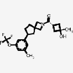 Cc1cc(OC(F)(F)F)cc(C2CCC3(C2)CN(C(=O)[C@H]2C[C@@](C)(O)C2)C3)c1